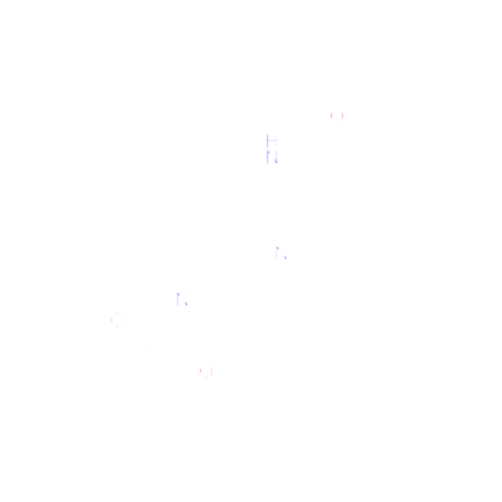 CN(c1ccccc1-c1nc2ccccc2c(=O)[nH]1)S(C)(=O)=O